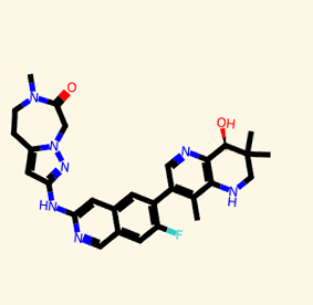 Cc1c(-c2cc3cc(Nc4cc5n(n4)CC(=O)N(C)CC5)ncc3cc2F)cnc2c1NCC(C)(C)[C@@H]2O